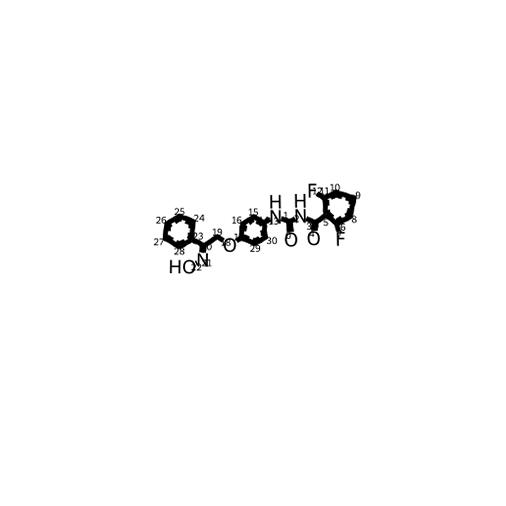 O=C(NC(=O)c1c(F)cccc1F)Nc1ccc(OCC(=NO)c2ccccc2)cc1